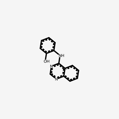 Oc1ccccc1Nc1ncnc2ccccc12